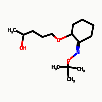 CC(O)CCCOC1CCCCC1=NOC(C)(C)C